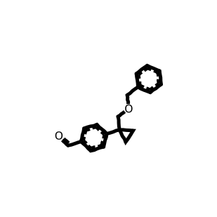 O=Cc1ccc(C2(COCc3ccccc3)CC2)cc1